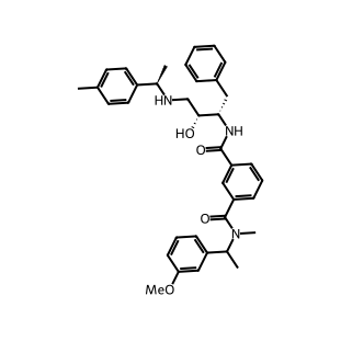 COc1cccc(C(C)N(C)C(=O)c2cccc(C(=O)N[C@@H](Cc3ccccc3)[C@H](O)CN[C@H](C)c3ccc(C)cc3)c2)c1